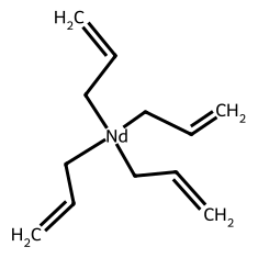 C=C[CH2][Nd]([CH2]C=C)([CH2]C=C)[CH2]C=C